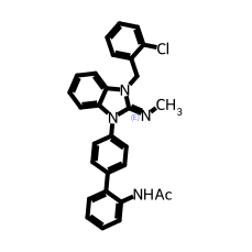 C/N=c1\n(Cc2ccccc2Cl)c2ccccc2n1-c1ccc(-c2ccccc2NC(C)=O)cc1